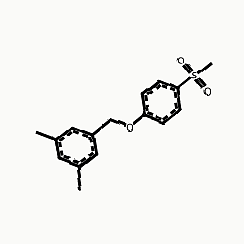 Cc1cc(C)cc(COc2ccc(S(C)(=O)=O)cc2)c1